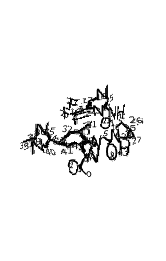 CC(=O)c1nn(CC(=O)N2[C@H](C(=O)Nc3cncc(C(F)(F)F)n3)C[C@@]3(C)C[C@@H]23)c2c(C)cc(-c3cnc(C)nc3)cc12